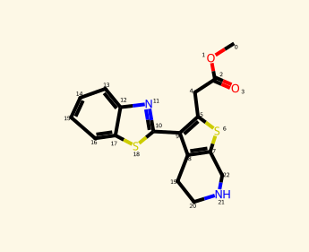 COC(=O)Cc1sc2c(c1-c1nc3ccccc3s1)CCNC2